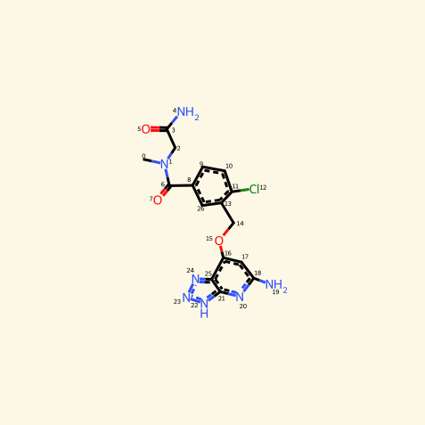 CN(CC(N)=O)C(=O)c1ccc(Cl)c(COc2cc(N)nc3[nH]nnc23)c1